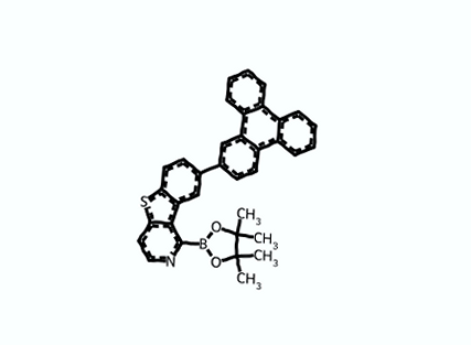 CC1(C)OB(c2nccc3sc4ccc(-c5ccc6c7ccccc7c7ccccc7c6c5)cc4c23)OC1(C)C